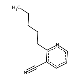 CCCCCc1ncccc1C#N